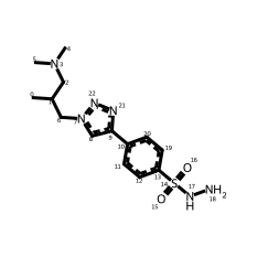 CC(CN(C)C)Cn1cc(-c2ccc(S(=O)(=O)NN)cc2)nn1